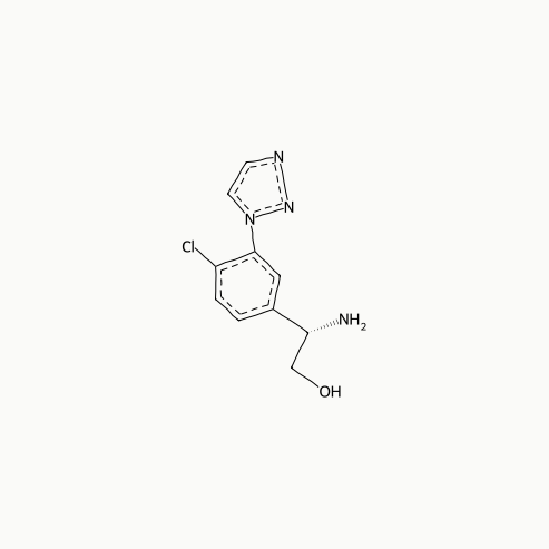 N[C@H](CO)c1ccc(Cl)c(-n2ccnn2)c1